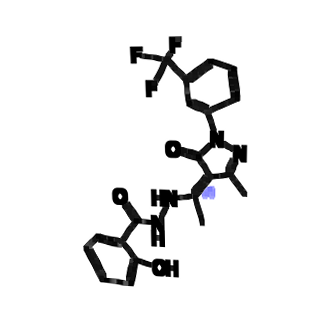 CC1=NN(c2cccc(C(F)(F)F)c2)C(=O)/C1=C(/C)NNC(=O)c1ccccc1O